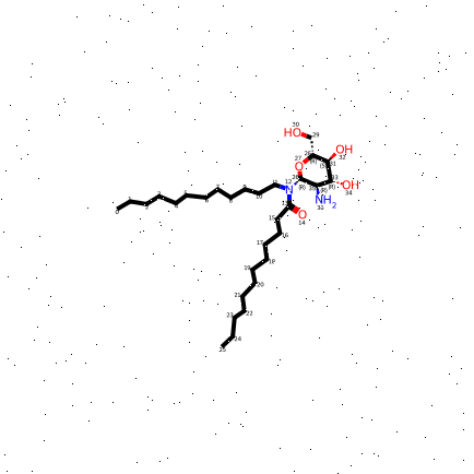 CCCCCCCCCCCCN(C(=O)CCCCCCCCCCC)[C@@H]1O[C@H](CO)[C@@H](O)[C@H](O)[C@H]1N